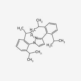 CC(C)c1cccc(C(C)C)c1-c1ccn(-c2c(C(C)C)cccc2C(C)C)n1